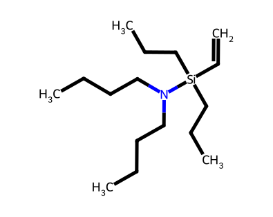 C=C[Si](CCC)(CCC)N(CCCC)CCCC